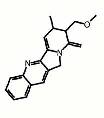 C=C1C(COC)C(C)C=C2c3nc4ccccc4cc3CN12